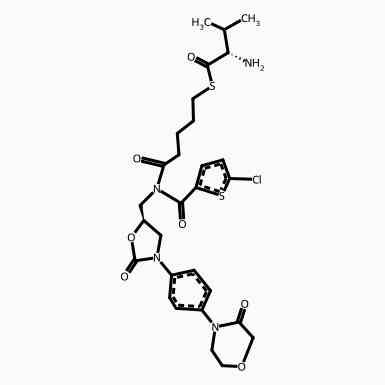 CC(C)[C@H](N)C(=O)SCCCCC(=O)N(C[C@H]1CN(c2ccc(N3CCOCC3=O)cc2)C(=O)O1)C(=O)c1ccc(Cl)s1